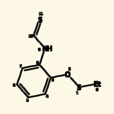 CCSOc1ccccc1NC=S